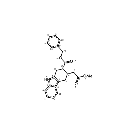 COC(=O)C[C@H]1Cc2c([nH]c3ccccc23)CN1C(=O)OCc1ccccc1